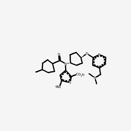 CC1CCC(C(=O)N(c2cc(C(C)(C)C)sc2C(=O)O)[C@H]2CC[C@H](Oc3cc(CN(C)C)ccn3)CC2)CC1